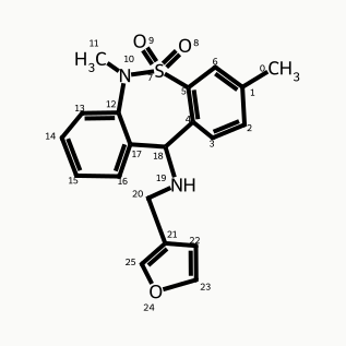 Cc1ccc2c(c1)S(=O)(=O)N(C)c1ccccc1C2NCc1ccoc1